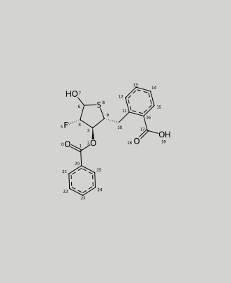 O=C(O[C@H]1[C@H](F)C(O)S[C@@H]1Cc1ccccc1C(=O)O)c1ccccc1